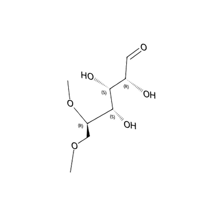 COC[C@@H](OC)[C@@H](O)[C@H](O)[C@@H](O)C=O